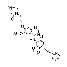 COc1cc2c(Nc3c(Cl)cc(C#Cc4ccccn4)c4c3OCO4)ncnc2cc1OCCCN1CCN(C)CC1=O